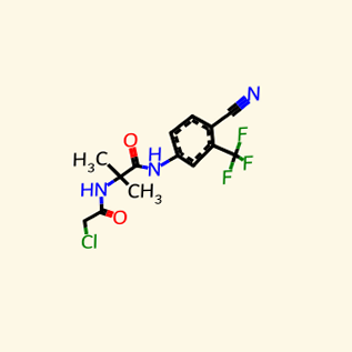 CC(C)(NC(=O)CCl)C(=O)Nc1ccc(C#N)c(C(F)(F)F)c1